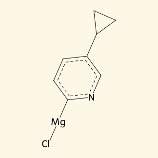 [Cl][Mg][c]1ccc(C2CC2)cn1